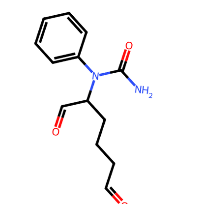 NC(=O)N(c1ccccc1)C(C=O)CCCC=O